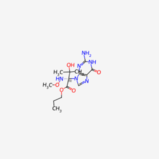 CCCOC(=O)[C@](NOC)(n1cnc2c(=O)[nH]c(N)nc21)C(C)(C)O